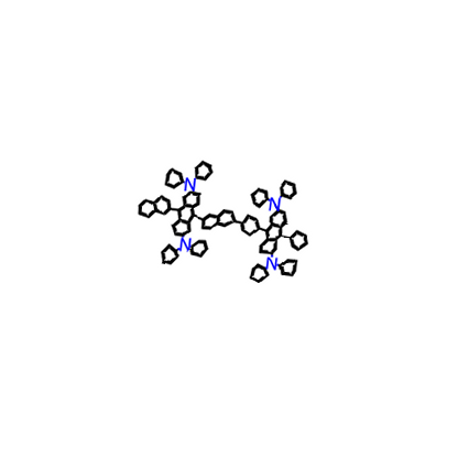 c1ccc(-c2c3ccc(N(c4ccccc4)c4ccccc4)cc3c(-c3ccc(-c4ccc5cc(-c6c7ccc(N(c8ccccc8)c8ccccc8)cc7c(-c7ccc8ccccc8c7)c7ccc(N(c8ccccc8)c8ccccc8)cc67)ccc5c4)cc3)c3ccc(N(c4ccccc4)c4ccccc4)cc23)cc1